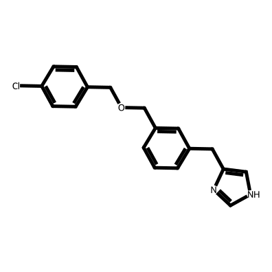 Clc1ccc(COCc2cccc(Cc3c[nH]cn3)c2)cc1